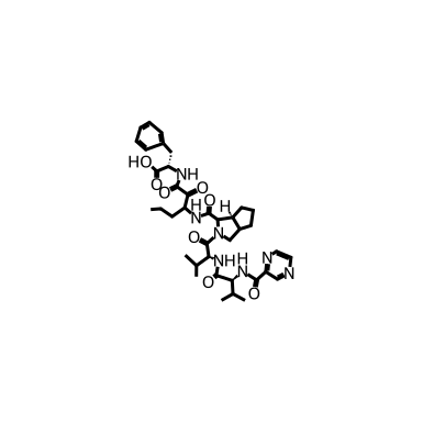 CCCC(NC(=O)C1[C@H]2CCCC2CN1C(=O)[C@@H](NC(=O)[C@@H](NC(=O)c1cnccn1)C(C)C)C(C)C)C(=O)C(=O)N[C@@H](Cc1ccccc1)C(=O)O